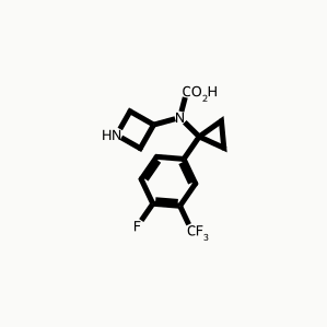 O=C(O)N(C1CNC1)C1(c2ccc(F)c(C(F)(F)F)c2)CC1